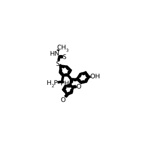 CNC(=S)Sc1ccc(-c2c3ccc(=O)cc-3oc3cc(O)ccc23)c(C(P)P)c1